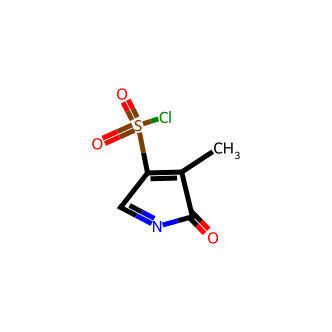 CC1=C(S(=O)(=O)Cl)C=NC1=O